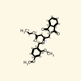 CCOC(=O)C/C(CN1C(=O)c2ccccc2C1=O)=N\Cc1ccc(OC)cc1OC